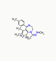 C=N/N=C(/C)N1CCN=C(c2ccc(C)cc2)C(C(C)=C(C)C)=C1C